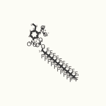 CCc1ccc([N+](=O)[O-])c(OC(=O)OCC(F)(F)C(F)(F)C(F)(F)C(F)(F)C(F)(F)C(F)(F)C(F)(F)C(F)(F)C(F)(F)C(F)(F)F)c1[N+](=O)[O-]